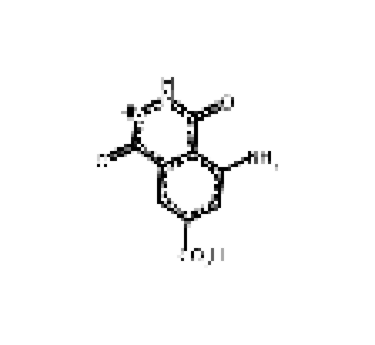 Nc1cc(C(=O)O)cc2c(=O)[nH][nH]c(=O)c12